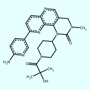 CN1Cc2cnc3ccc(-c4ccc(N)nc4)nc3c2N(C2CCN(C(=O)C(C)(C)O)CC2)C1=O